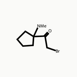 CNC1(C(=O)CBr)CCCC1